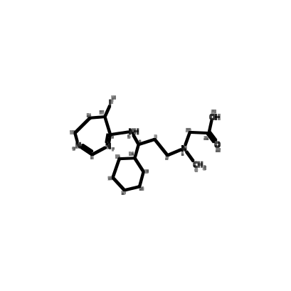 CN(CCC(NC1=NC=NCCC1F)C1CCCCC1)CC(=O)O